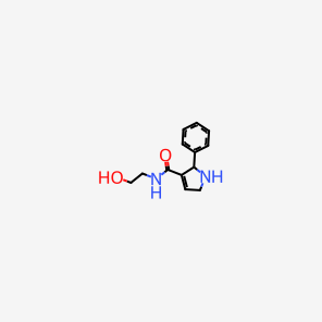 O=C(NCCO)C1=CCNC1c1ccccc1